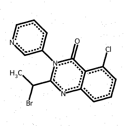 CC(Br)c1nc2cccc(Cl)c2c(=O)n1-c1cccnc1